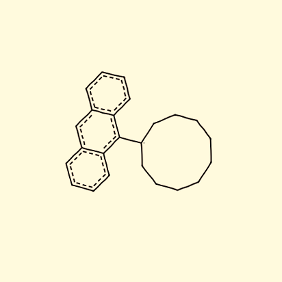 c1ccc2c([C]3CCCCCCCCC3)c3ccccc3cc2c1